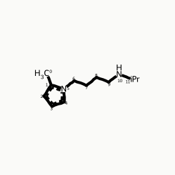 Cc1cccn1CCCCNC(C)C